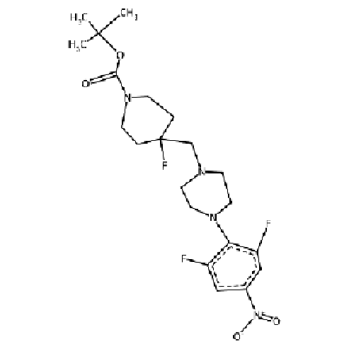 CC(C)(C)OC(=O)N1CCC(F)(CN2CCN(c3c(F)cc([N+](=O)[O-])cc3F)CC2)CC1